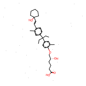 CCC(CC)(c1ccc(/C=C/C2(O)CCCCC2)c(C)c1)c1ccc(OC[C@H](O)CCCC(=O)O)c(C)c1